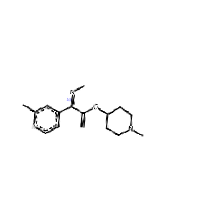 C=C(OC1CCN(C)CC1)/C(=N\C)c1ccnc(C)c1